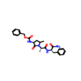 CC1C[C@H](NC(=O)OCc2ccccc2)C(=O)N1[C@@H](C)C(=O)N[C@@H](Cc1ccccc1)C(N)=O